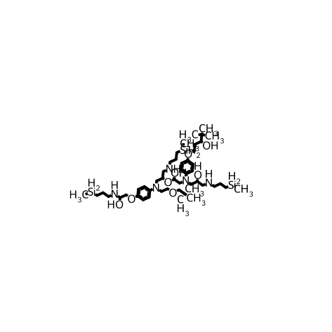 C[SiH2]CCCNCC(O)CN(CC(O)OC(CNCCC[SiH2]C)CN(CCOCC(C)(C)C)c1ccc(OCC(O)NCCC[SiH2]C)cc1)c1ccc(OCCC(O)C(C)(C)C)cc1